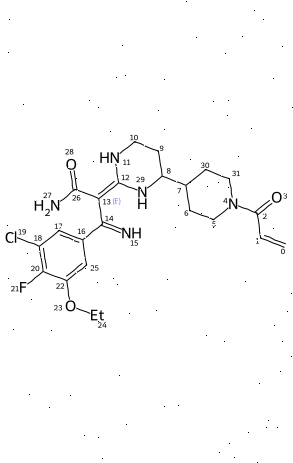 C=CC(=O)N1CCC(C2CCN/C(=C(/C(=N)c3cc(Cl)c(F)c(OCC)c3)C(N)=O)N2)CC1